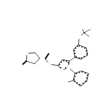 O=C1C[C@@H](C(=O)Nc2cc(-c3cccc(OC(F)(F)F)c3)n(-c3ccccc3F)n2)CN1